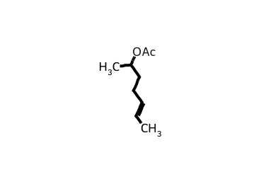 CC=CCCC(C)OC(C)=O